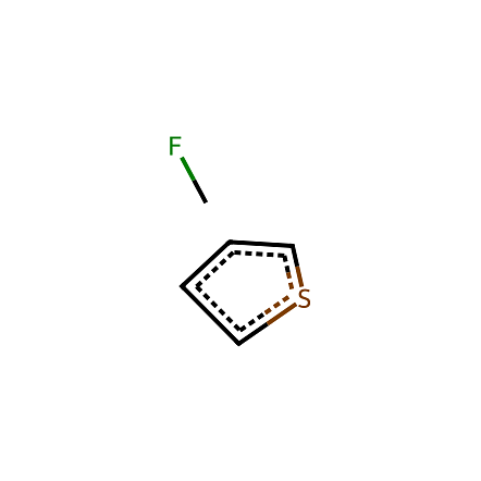 CF.c1ccsc1